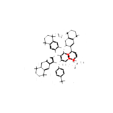 CC1(C)CCC(C)(C)C2Cc3oc4c(c3C=C21)N(c1ccc(C(C)(C)C)cc1)c1cc(C(C)(C)C)cc2c1B4c1cc3c(cc1N2C1CC2=C(C=C1c1ccc([Si](C)(C)C)cc1)C(C)(C)CCC2(C)C)C(C)(C)CCC3(C)C